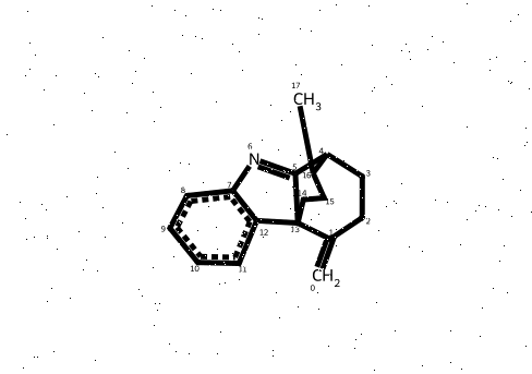 C=C1CCC2C3=Nc4ccccc4C13CCC2C